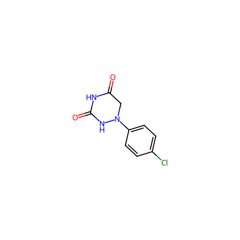 O=C1CN(c2ccc(Cl)cc2)NC(=O)N1